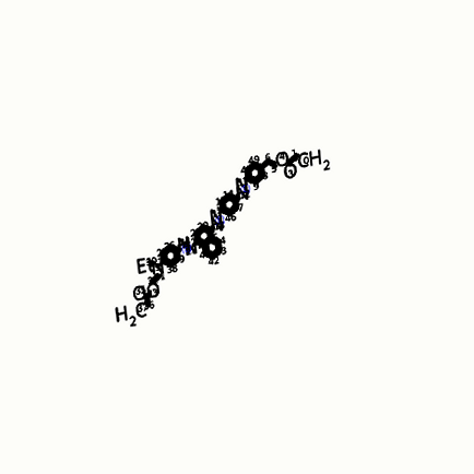 C=CC(=O)OCCc1ccc(/N=N/c2ccc(/N=N/c3ccc(/N=N/c4ccc(N(CC)CCOC(=O)C=C)cc4)c4ccccc34)cc2)cc1